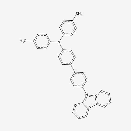 Cc1ccc(N(c2ccc(C)cc2)c2ccc(-c3ccc(-n4c5ccccc5c5ccccc54)cc3)cc2)cc1